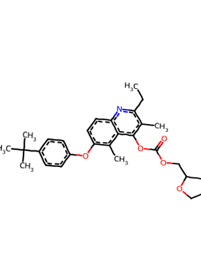 CCc1nc2ccc(Oc3ccc(C(C)(C)C)cc3)c(C)c2c(OC(=O)OCC2CCCO2)c1C